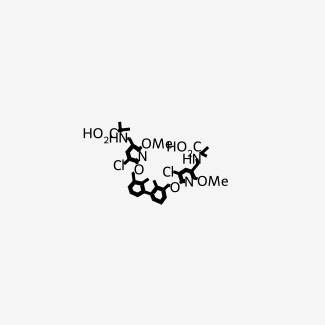 COc1nc(OCc2cccc(-c3cccc(COc4nc(OC)c(CNC(C)(C)C(=O)O)cc4Cl)c3C)c2C)c(Cl)cc1CNC(C)(C)C(=O)O